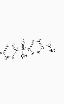 CCOc1ccc(P(=O)(O)c2ccccc2)cc1